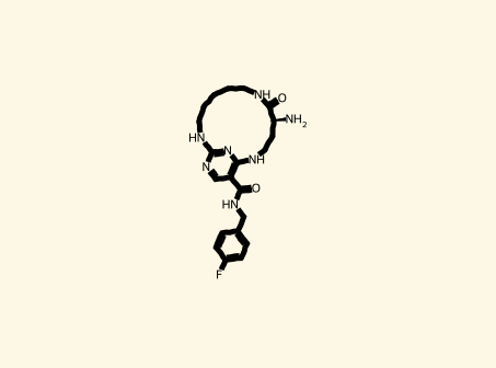 N[C@H]1CCNc2nc(ncc2C(=O)NCc2ccc(F)cc2)NCCCCCNC1=O